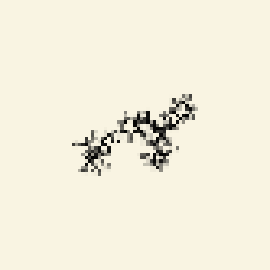 CCC[C@H](COc1ccc(Cl)c(-c2nc(-c3c(I)cnn3C)c(C)c(N3Cc4cccnc4C3)n2)c1)O[Si](C)(C)C(C)(C)C